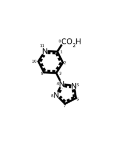 O=C(O)c1cc(-n2nccn2)ccn1